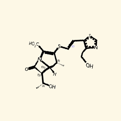 C[C@@H](O)[C@H]1C(=O)N2C(C(=O)O)=C(S/C=C/c3scnc3CO)[C@H](C)[C@H]12